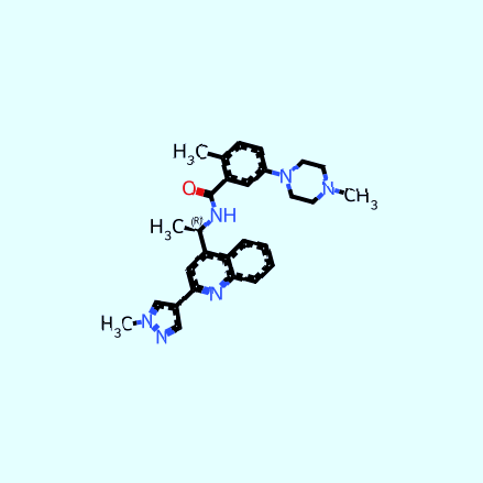 Cc1ccc(N2CCN(C)CC2)cc1C(=O)N[C@H](C)c1cc(-c2cnn(C)c2)nc2ccccc12